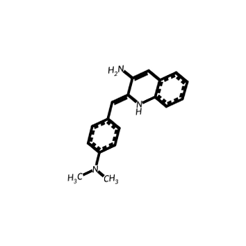 CN(C)c1ccc(C=C2Nc3ccccc3C=C2N)cc1